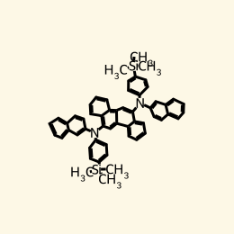 C[Si](C)(C)c1ccc(N(c2ccc3ccccc3c2)c2cc3c4ccccc4c(N(c4ccc([Si](C)(C)C)cc4)c4ccc5ccccc5c4)cc3c3ccccc23)cc1